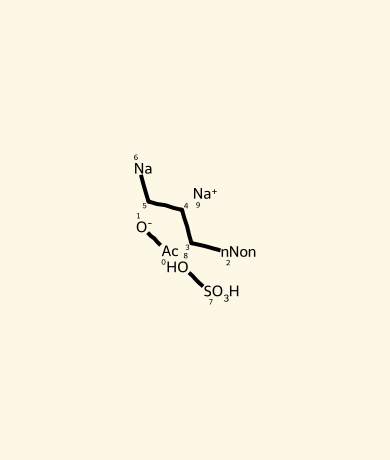 CC(=O)[O-].CCCCCCCCCCC[CH2][Na].O=S(=O)(O)O.[Na+]